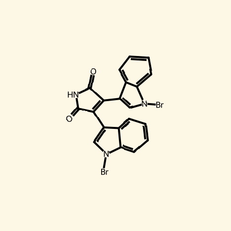 O=C1NC(=O)C(c2cn(Br)c3ccccc23)=C1c1cn(Br)c2ccccc12